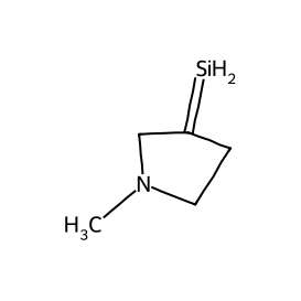 CN1CCC(=[SiH2])C1